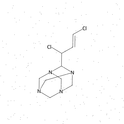 ClC=CC(Cl)C1N2CN3CN(C2)CN1C3